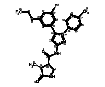 C[C@H]1C(=O)NC[C@@H]1C(=O)Nc1cc(-c2cc(F)cc(OCC(F)(F)F)c2)n(-c2ccc(C(F)(F)F)nc2)n1